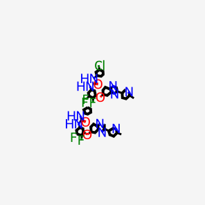 Cc1ccc(-c2cnc3ccc(Oc4cc(NC(=O)Nc5cccc(Cl)c5)cc(F)c4F)cc3n2)cn1.Cc1ccc(-c2cnc3ccc(Oc4cc(NC(=O)Nc5cccc(F)c5)cc(F)c4F)cc3n2)cn1